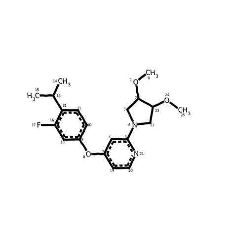 COC1CN(c2cc(Oc3ccc(C(C)C)c(F)c3)ccn2)CC1OC